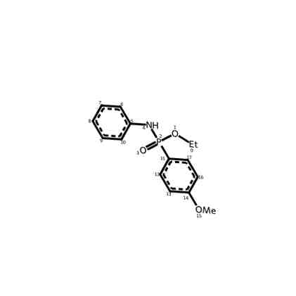 CCOP(=O)(Nc1ccccc1)c1ccc(OC)cc1